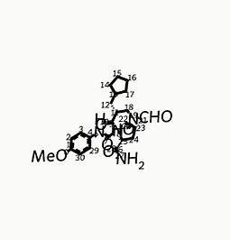 COc1ccc(NC(=O)[N+]2(C(=O)[C@H](CC3CCCC3)CN(O)C=O)CCC[C@H]2C(N)=O)cc1